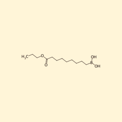 CCCOC(=O)CCCCCCCCB(O)O